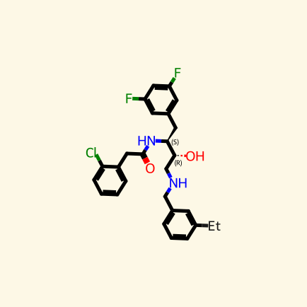 CCc1cccc(CNC[C@@H](O)[C@H](Cc2cc(F)cc(F)c2)NC(=O)Cc2ccccc2Cl)c1